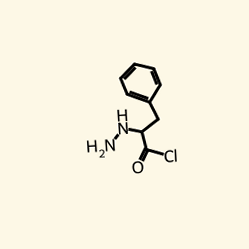 NNC(Cc1ccccc1)C(=O)Cl